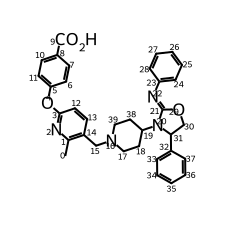 Cc1nc(Oc2ccc(C(=O)O)cc2)ccc1CN1CCC(N2C(=Nc3ccccc3)OCC2c2ccccc2)CC1